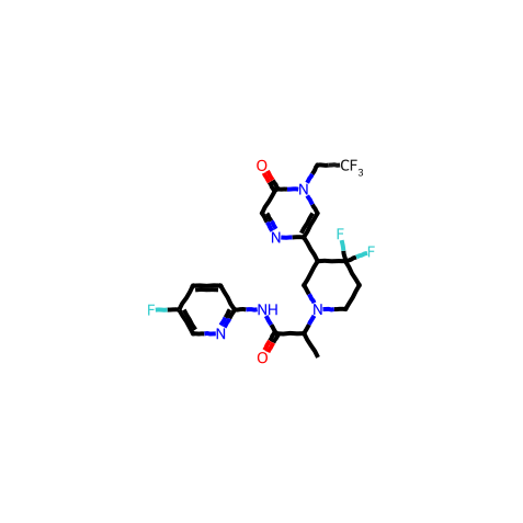 CC(C(=O)Nc1ccc(F)cn1)N1CCC(F)(F)C(c2cn(CC(F)(F)F)c(=O)cn2)C1